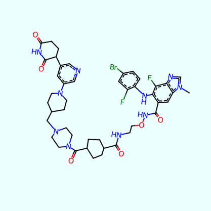 Cn1cnc2c(F)c(Nc3ccc(Br)cc3F)c(C(=O)NOCCNC(=O)C3CCC(C(=O)N4CCN(CC5CCN(c6cncc(C7CCC(=O)NC7=O)c6)CC5)CC4)CC3)cc21